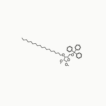 CCCCCCCCCCCCCCCCCCO[C@@H]1[C@@H](OC)[C@@H](OC)O[C@@H]1COC(c1ccccc1)(c1ccccc1)c1ccccc1